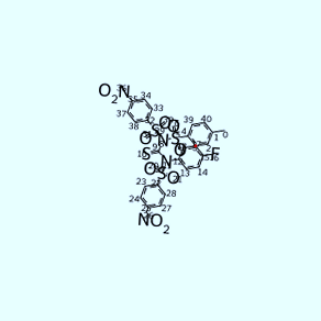 Cc1ccc(S(=O)(=O)N(C(=S)N(c2ccc(F)cc2)S(=O)(=O)c2ccc([N+](=O)[O-])cc2)S(=O)(=O)c2ccc([N+](=O)[O-])cc2)cc1